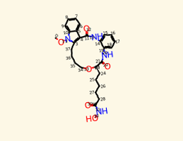 COn1c2c(c3ccccc31)C(=O)Nc1ccccc1NC(=O)[C@@H](CCCCCC(=O)NO)OCCCC2